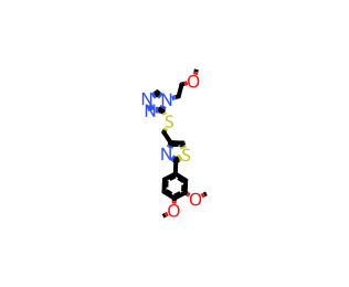 COCCn1cnnc1SCc1csc(-c2ccc(OC)c(OC)c2)n1